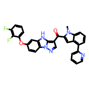 Cn1c(C(=O)c2cnn3c2[nH]c2cc(Oc4cccc(F)c4F)ccc23)cc2c(-c3ccccn3)cccc21